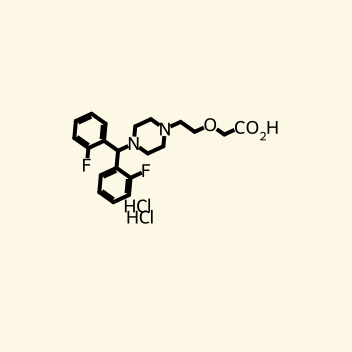 Cl.Cl.O=C(O)COCCN1CCN(C(c2ccccc2F)c2ccccc2F)CC1